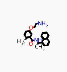 Cc1ccc(OCCN)cc1C(=O)NC(C)c1cccc2ccccc12